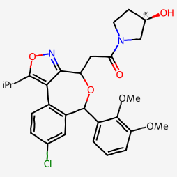 COc1cccc(C2OC(CC(=O)N3CC[C@@H](O)C3)c3noc(C(C)C)c3-c3ccc(Cl)cc32)c1OC